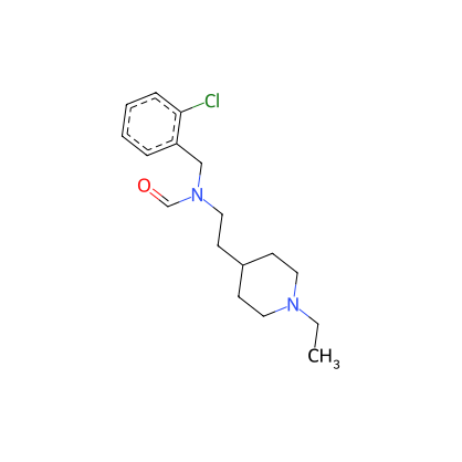 CCN1CCC(CCN(C=O)Cc2ccccc2Cl)CC1